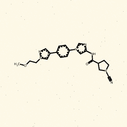 COCCn1cc(-c2ccc(-n3cnc(NC(=O)C4CCN(C#N)C4)c3)cc2)cn1